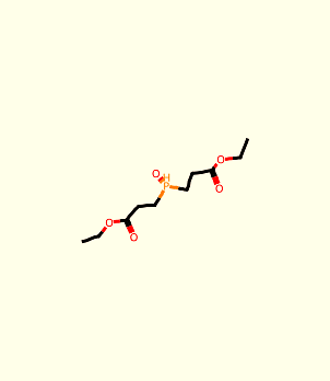 CCOC(=O)CC[PH](=O)CCC(=O)OCC